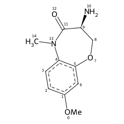 COc1ccc2c(c1)OC[C@H](N)C(=O)N2C